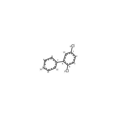 Clc1ccc(Cl)c(-c2c[c]ncc2)c1